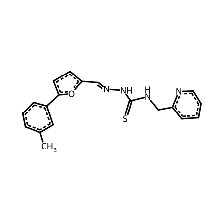 Cc1cccc(-c2ccc(C=NNC(=S)NCc3ccccn3)o2)c1